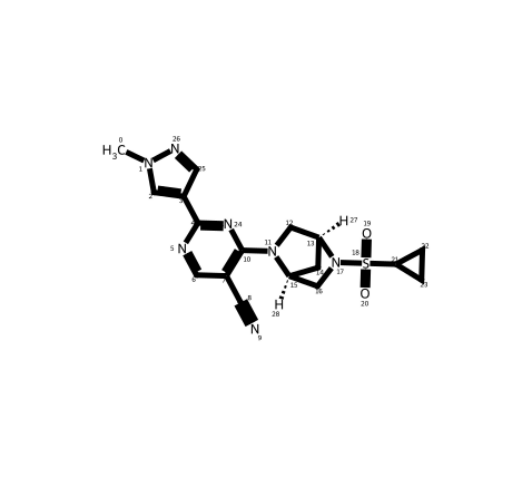 Cn1cc(-c2ncc(C#N)c(N3C[C@@H]4C[C@H]3CN4S(=O)(=O)C3CC3)n2)cn1